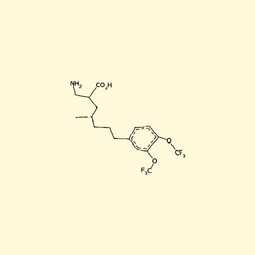 CC(CCCc1ccc(OC(F)(F)F)c(OC(F)(F)F)c1)CC(CN)C(=O)O